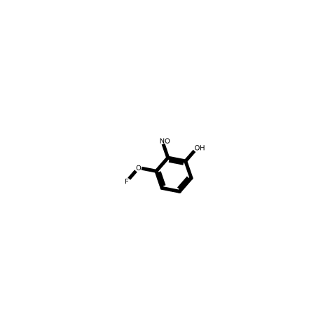 O=Nc1c(O)cccc1OF